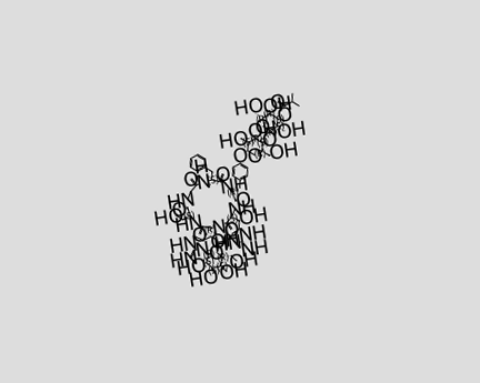 CC(C)C(=O)O[C@@H]1[C@H](O)[C@@H](O[C@H]2[C@H](O)[C@H](O)C(Oc3ccc(C[C@H]4NC(=O)[C@H](Cc5ccccc5)NC(=O)CNC(=O)[C@H](CO)NC(=O)[C@@H](C(O)C5CNC(=N)N5[C@H]5O[C@H](CO)[C@@H](O)[C@H](O)[C@@H]5O)NC(=O)[C@H](C(O)C5CNC(=N)N5)NC4=O)cc3)O[C@@H]2CO)O[C@H](CO)[C@H]1O